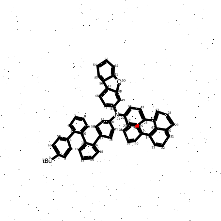 CC(C)(C)c1ccc(-c2ccccc2-c2ccccc2-c2ccc(N(c3ccc(-c4cccc5cccc(-c6ccccc6)c45)cc3)c3ccc4c(c3)oc3ccccc34)cc2)cc1